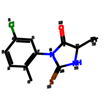 Cc1ccc(Cl)cc1N1C(=O)C(C(C)C)NC1=S